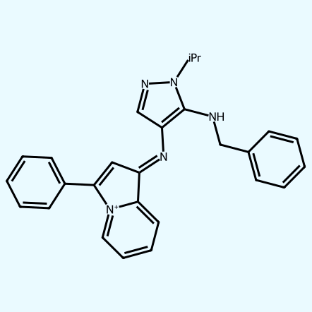 CC(C)n1ncc(/N=C2\C=C(c3ccccc3)[n+]3ccccc32)c1NCc1ccccc1